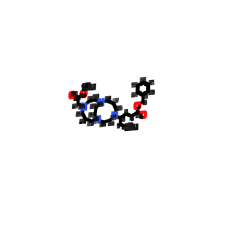 CC(C)(C)CC(CCC(=O)OCc1ccccc1)N1CCCN2CCN(CCCN(CC(=O)OC(C)(C)C)CC2)CC1